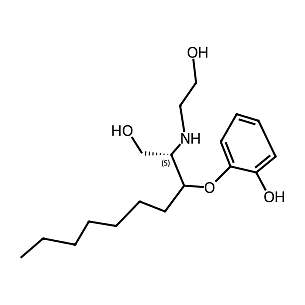 CCCCCCCC(Oc1ccccc1O)[C@H](CO)NCCO